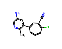 Cc1ncc(N)cc1C1=CC(C#N)=C(Cl)C=C=C1